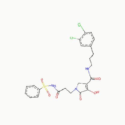 O=C(CCN1CC(C(=O)NCCCc2ccc(Cl)c(Cl)c2)=C(O)C1=O)NS(=O)(=O)c1ccccc1